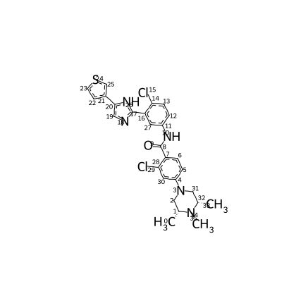 C[C@@H]1CN(c2ccc(C(=O)Nc3ccc(Cl)c(-c4ncc(-c5ccsc5)[nH]4)c3)c(Cl)c2)C[C@H](C)N1C